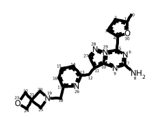 Cc1ccc(-c2nc(N)nc3c(Cc4cccc(CN5CC6(COC6)C5)n4)cnn23)o1